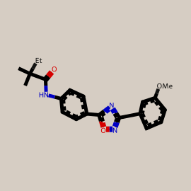 CCC(C)(C)C(=O)Nc1ccc(-c2nc(-c3cccc(OC)c3)no2)cc1